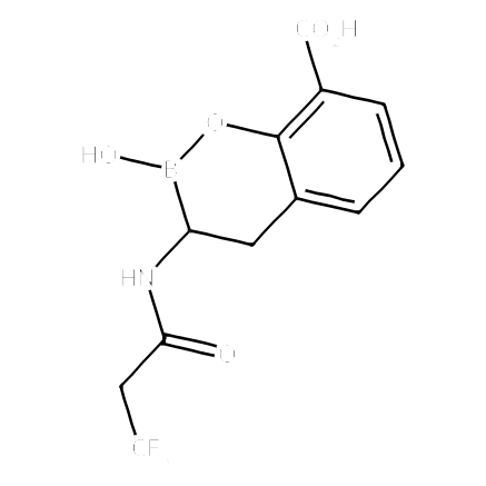 O=C(CC(F)(F)F)NC1Cc2cccc(C(=O)O)c2OB1O